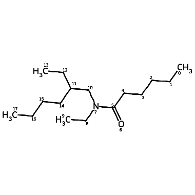 CCCCCC(=O)N(CC)CC(CC)CCCC